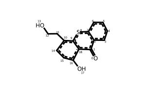 O=c1c2ccccc2sc2c(CCO)ccc(O)c12